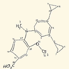 CN(c1cc(C2CC2)cc(C2CC2)c1)c1ccc(C(=O)O)cc1OC(F)(F)F